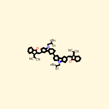 CCCCC(CC)Cn1c2ccc(/C=C3\C(=O)c4ccccc4C3=C(C#N)C#N)cc2c2cc(-c3ccc4c(c3)c3cc(/C=C5\C(=O)c6ccccc6C5=C(C#N)C#N)ccc3n4CC(CC)CCCC)ccc21